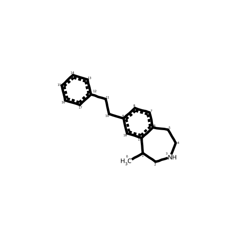 CC1CNCCc2ccc(CCc3ccccc3)cc21